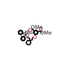 COC(=O)c1cc(OCCC2(CCO[Si](c3ccccc3)(c3ccccc3)C(C)(C)C)CCCCC2)cc(C(=O)OC)c1